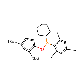 Cc1cc(C)c(P(Oc2ccc(C(C)(C)C)cc2C(C)(C)C)C2CCCCC2)c(C)c1